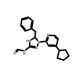 O=CNC1=NN(c2cc(C3CCCC3)ccn2)C(Cc2ccccc2)N1